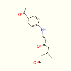 CC(=O)c1ccc(N/C=C/C(=O)CC(C)CC=O)cc1